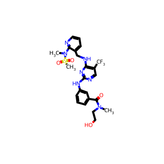 CN(CCO)C(=O)c1cccc(Nc2ncc(C(F)(F)F)c(NCc3cccnc3N(C)S(C)(=O)=O)n2)c1